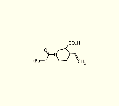 C=CC1CCN(C(=O)OC(C)(C)C)CC1C(=O)O